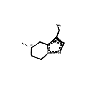 CCc1cnn2c1C[C@@H](C)CC2